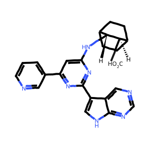 O=C(O)[C@@H]1C2CCC(CC2)[C@H]1Nc1cc(-c2cccnc2)nc(-c2c[nH]c3ncncc23)n1